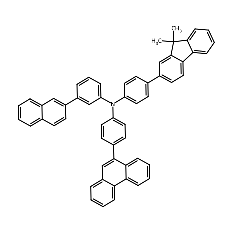 CC1(C)c2ccccc2-c2ccc(-c3ccc(N(c4ccc(-c5cc6ccccc6c6ccccc56)cc4)c4cccc(-c5ccc6ccccc6c5)c4)cc3)cc21